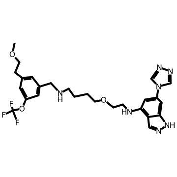 COCCc1cc(CNCCCCOCCNc2cc(-n3cnnc3)cc3[nH]ncc23)cc(OC(F)(F)F)c1